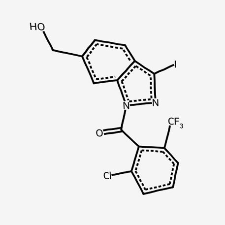 O=C(c1c(Cl)cccc1C(F)(F)F)n1nc(I)c2ccc(CO)cc21